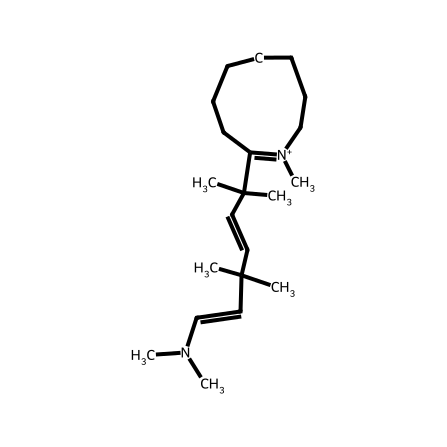 CN(C)/C=C/C(C)(C)/C=C/C(C)(C)/C1=[N+](\C)CCCCCCC1